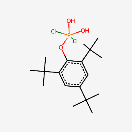 CC(C)(C)c1cc(C(C)(C)C)c(OP(O)(O)(Cl)Cl)c(C(C)(C)C)c1